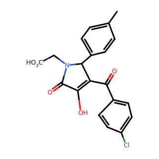 Cc1ccc(C2C(C(=O)c3ccc(Cl)cc3)=C(O)C(=O)N2CC(=O)O)cc1